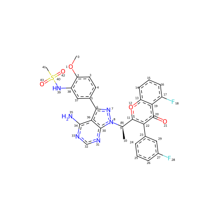 COc1ccc(-c2nn([C@H](C)c3oc4cccc(F)c4c(=O)c3-c3cccc(F)c3)c3ncnc(N)c23)cc1NS(C)(=O)=O